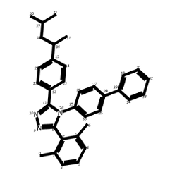 Cc1cccc(C)c1-c1nnc(-c2ccc(C(C)CC(C)C)cc2)n1-c1ccc(-c2ccccc2)cc1